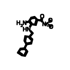 Nc1ccc(C(=O)N=S(=O)=O)cc1NCc1ccc(-c2ccccc2)cc1